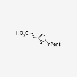 CCCCCc1ccc(/C=C/C(=O)O)s1